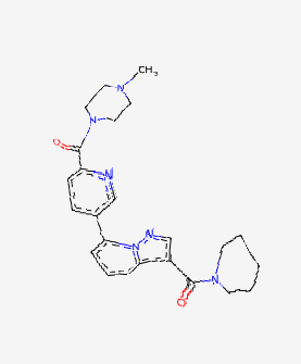 CN1CCN(C(=O)c2ccc(-c3cccc4c(C(=O)N5CCCCC5)cnn34)cn2)CC1